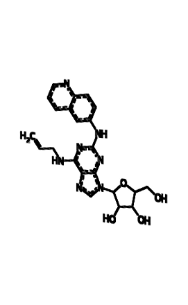 C=CCNc1nc(Nc2ccc3ncccc3c2)nc2c1ncn2C1OC(CO)C(O)C1O